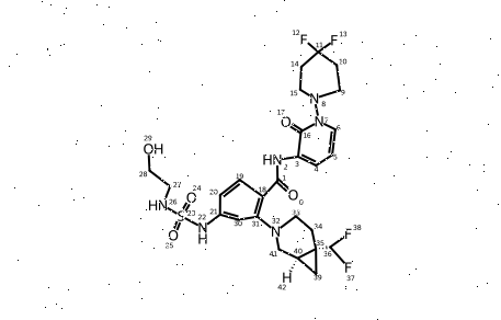 O=C(Nc1cccn(N2CCC(F)(F)CC2)c1=O)c1ccc(NS(=O)(=O)NCCO)cc1N1CC[C@@]2(C(F)F)C[C@H]2C1